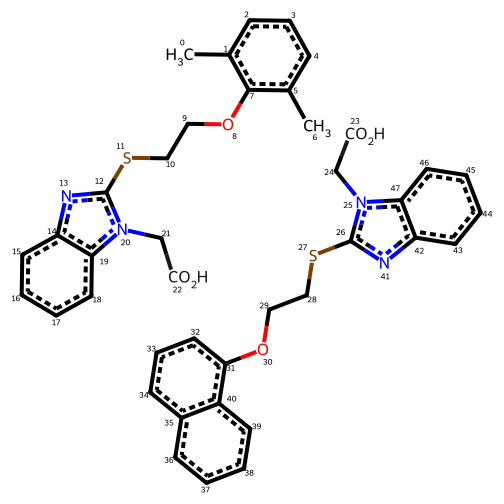 Cc1cccc(C)c1OCCSc1nc2ccccc2n1CC(=O)O.O=C(O)Cn1c(SCCOc2cccc3ccccc23)nc2ccccc21